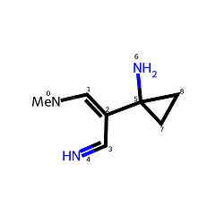 CN/C=C(\C=N)C1(N)CC1